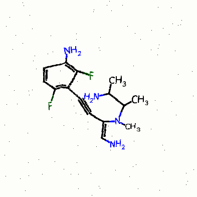 CC(N)C(C)N(C)/C(C#Cc1c(F)ccc(N)c1F)=C\N